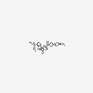 C=C(C)c1cccc(-n2[nH]c(=O)c3cnc(Nc4ccc(N5CCN(C)CC5)cc4)nc32)n1